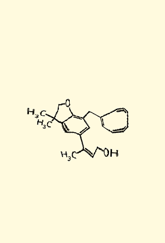 C/C(=C/CO)c1cc(Cc2ccccc2)c2c(c1)C(C)(C)CO2